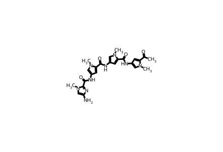 CC(=O)c1cc(NC(=O)c2cc(NC(=O)c3cc(NC(=O)c4nc(N)cn4C)cn3C)cn2C)cn1C